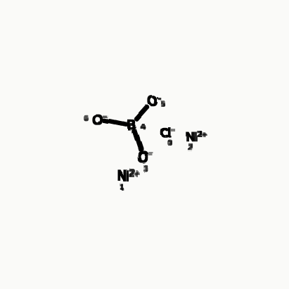 [Cl-].[Ni+2].[Ni+2].[O-]B([O-])[O-]